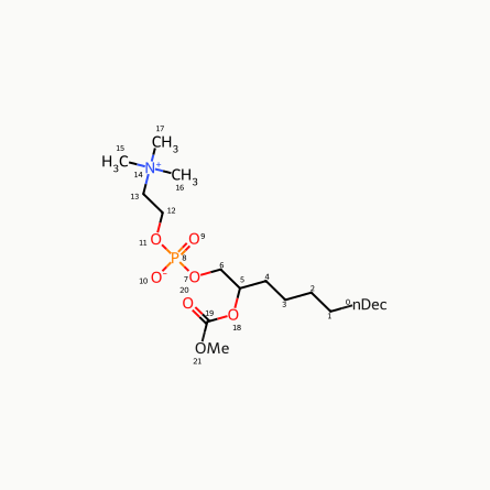 CCCCCCCCCCCCCCC(COP(=O)([O-])OCC[N+](C)(C)C)OC(=O)OC